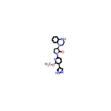 COc1nc(N2CCC(N3CCNc4ccccc43)C2=O)ccc1-c1cn[nH]c1